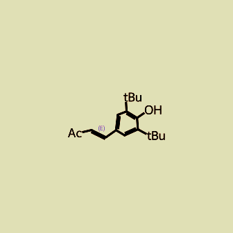 CC(=O)/C=C/c1cc(C(C)(C)C)c(O)c(C(C)(C)C)c1